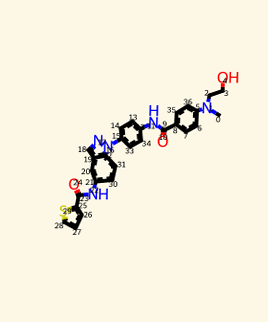 CN(CCO)c1ccc(C(=O)Nc2ccc(-n3ncc4cc(NC(=O)c5cccs5)ccc43)cc2)cc1